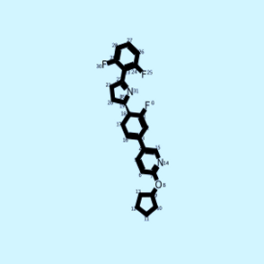 FC1=CC(c2ccc(OC3CCCC3)nc2)=CCC1[C@H]1CCC(c2c(F)cccc2F)=N1